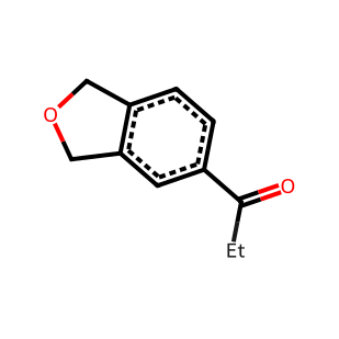 CCC(=O)c1ccc2c(c1)COC2